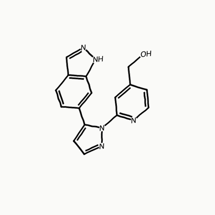 OCc1ccnc(-n2nccc2-c2ccc3cn[nH]c3c2)c1